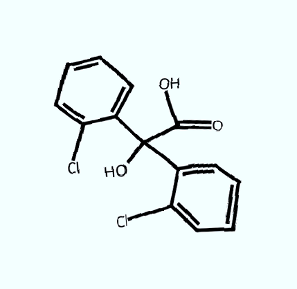 O=C(O)C(O)(c1ccccc1Cl)c1ccccc1Cl